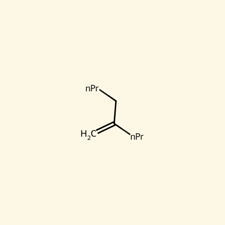 [CH2]CCCC(=C)CC[CH2]